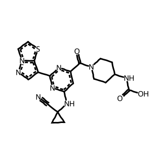 N#CC1(Nc2cc(C(=O)N3CCC(NC(=O)O)CC3)nc(-c3cnn4ccsc34)n2)CC1